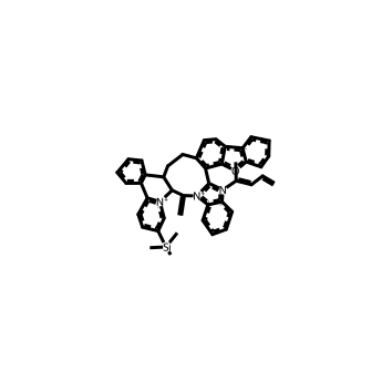 C=C/C=C(\C)n1c2[n+](c3ccccc31)C(=C)C1C(CCc3ccc4c(oc5ccccc54)c3-2)c2ccccc2-c2ccc([Si](C)(C)C)c[n+]21